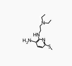 CCN(CC)CCNc1nc(SC)ccc1N